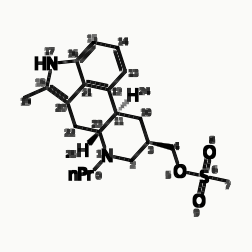 CCCN1C[C@H](COS(C)(=O)=O)C[C@@H]2c3cccc4[nH]c(C)c(c34)C[C@H]21